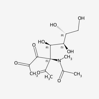 CC(=O)C(=O)[C@@](C(C)=O)([C@@H](O)[C@H](O)[C@H](O)CO)N(C)C(C)=O